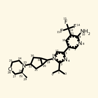 CC(C)c1nc(-c2cnc(N)c(C(F)(F)F)c2)cn1C1C2CC(N3CCOC[C@@H]3C)CC21